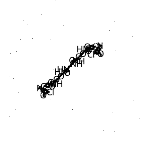 COc1cc(Cl)cc2c1C[C@H](N(C)C)[C@H]2Oc1ccc(S(=O)(=O)NCCOCCOCCNC(=O)NCCCCNC(=O)NCCOCCOCCNS(=O)(=O)c2ccc(O[C@H]3c4cc(Cl)cc(OC)c4C[C@@H]3N(C)C)cc2)cc1